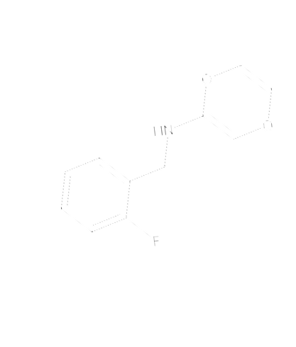 Fc1ccccc1CNC1=COC=CO1